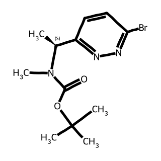 C[C@@H](c1ccc(Br)nn1)N(C)C(=O)OC(C)(C)C